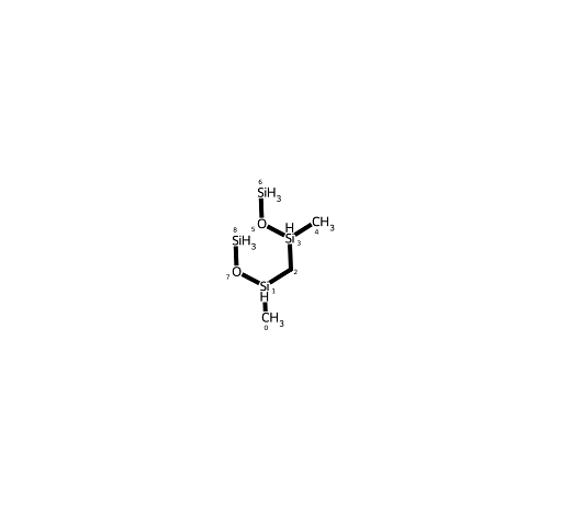 C[SiH](C[SiH](C)O[SiH3])O[SiH3]